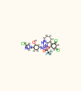 COc1cc(NC2=NN3CCCCC(c4ccc(Cl)cc4Cl)C3N2OC(=O)C(F)(F)F)ccc1-n1cnc(Cl)c1